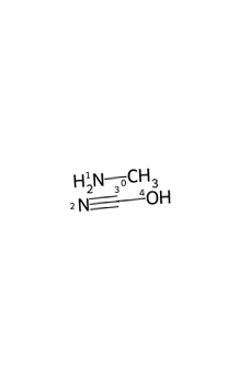 CN.N#CO